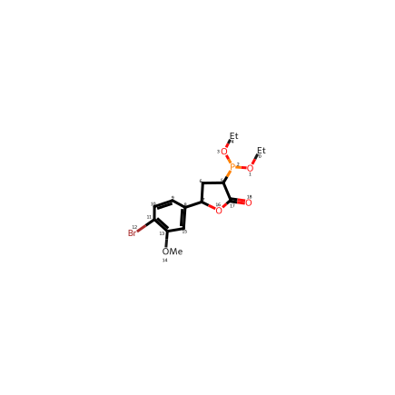 CCOP(OCC)C1CC(c2ccc(Br)c(OC)c2)OC1=O